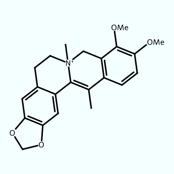 COc1ccc2c(c1OC)C[N+]1(C)CCc3cc4c(cc3C1=C2C)OCO4